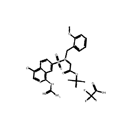 COc1ccccc1CN(CC(=O)OC(C)(C)C)S(=O)(=O)c1ccc2c(Cl)cnc(NC(=N)N)c2c1.O=C(O)C(F)(F)F